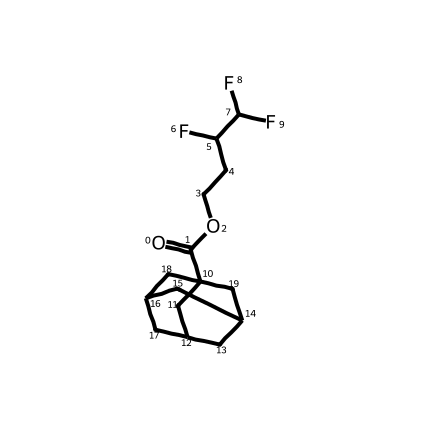 O=C(OCCC(F)C(F)F)C12CC3CC(CC(C3)C1)C2